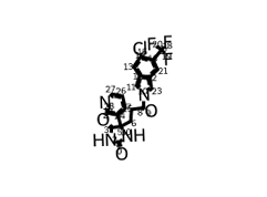 O=C1NC(=O)C(CCC(=O)n2cc3cc(Cl)c(C(F)(F)F)cc3c2)(c2cccnc2)N1